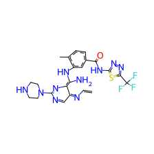 C=C/N=C1/C=NC(N2CCNCC2)=N/C1=C(/N)Nc1cc(C(=O)Nc2nnc(C(F)(F)F)s2)ccc1C